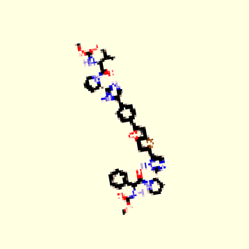 COC(=O)N[C@H](C(=O)N1CC=C[C@H]1c1ncc(-c2ccc(-c3cc4sc(-c5cnc([C@@H]6CCCN6C(=O)[C@H](NC(=O)OC)c6ccccc6)[nH]5)cc4o3)cc2)[nH]1)C(C)C